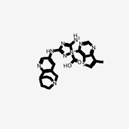 Cc1csc2c([N+]3(C(=O)O)N=C(Nc4cnc5c(c4)CN4CCC5CC4)N=C3N)ncnc12